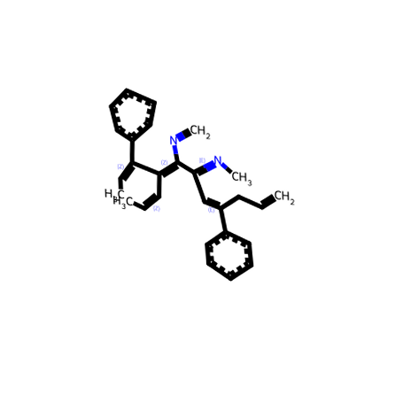 C=CC\C(=C/C(=N\C)C(/N=C)=C(\C=C/C)C(=C\C)/c1ccccc1)c1ccccc1